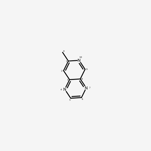 Cc1cc2nccnc2cn1